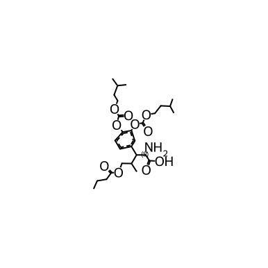 CCCC(=O)OCC(C)C(c1ccc(OC(=O)OCCC(C)C)c(OC(=O)OCCC(C)C)c1)[C@H](N)C(=O)O